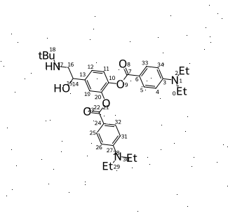 CCN(CC)c1ccc(C(=O)Oc2ccc(C(O)CNC(C)(C)C)cc2OC(=O)c2ccc(N(CC)CC)cc2)cc1